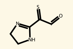 O=[C]C(=S)C1=NCCN1